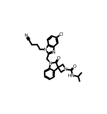 CC(C)NC(=O)N1CC2(C1)C(=O)N(Cc1nc3cc(Cl)ccc3n1CCCC#N)c1ccccc12